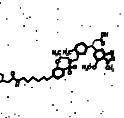 COc1cc([C@@H](CC(=O)O)c2ccc(C)c(CN3C[C@@H](C)Oc4cc(CCCCCCNC(=O)CC5CCCC5)ccc4S3(=O)=O)c2)cc2nnn(C)c12